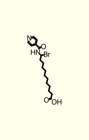 O=C(O)CCCCCCCCCCC(Br)NC(=O)c1ccncc1